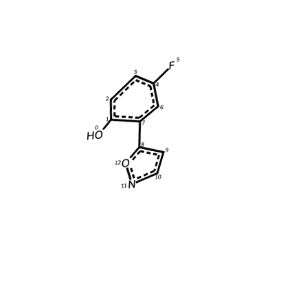 Oc1ccc(F)cc1-c1ccno1